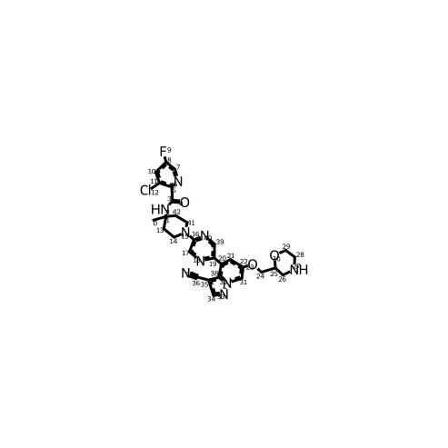 CC1(NC(=O)c2ncc(F)cc2Cl)CCN(c2cnc(-c3cc(OCC4CNCCO4)cn4ncc(C#N)c34)cn2)CC1